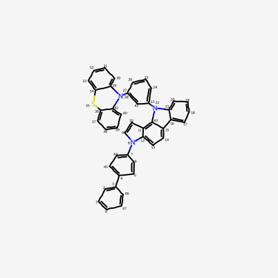 c1ccc(-c2ccc(-n3ccc4c3ccc3c5ccccc5n(-c5cccc(N6c7ccccc7Sc7ccccc76)c5)c34)cc2)cc1